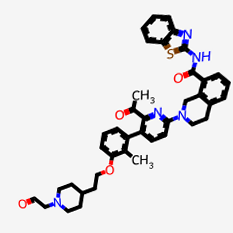 CC(=O)c1nc(N2CCc3cccc(C(=O)Nc4nc5ccccc5s4)c3C2)ccc1-c1cccc(OCCC2CCN(CC=O)CC2)c1C